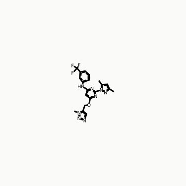 Cc1cc(C)n(-c2nc(Nc3cccc(C(F)(F)F)c3)cc(OCc3cnnn3C)n2)n1